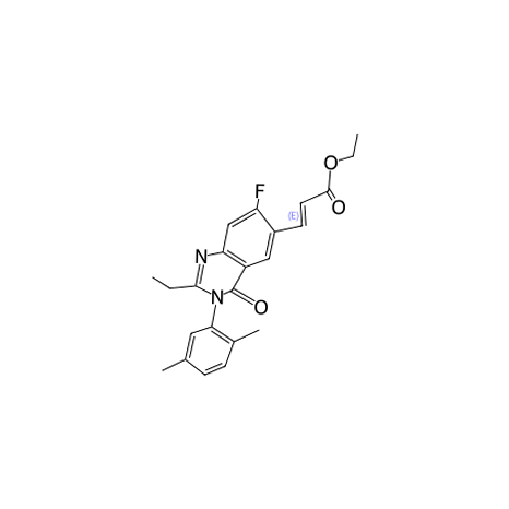 CCOC(=O)/C=C/c1cc2c(=O)n(-c3cc(C)ccc3C)c(CC)nc2cc1F